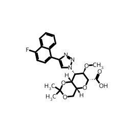 CO[C@@H]1[C@@H](n2cc(-c3ccc(F)c4ccccc34)nn2)[C@H]2OC(C)(C)OC[C@H]2O[C@H]1C(=O)O